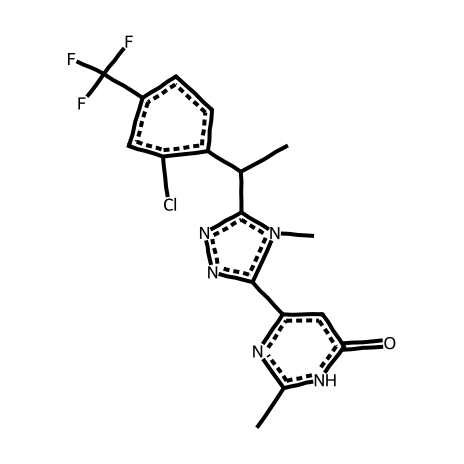 Cc1nc(-c2nnc(C(C)c3ccc(C(F)(F)F)cc3Cl)n2C)cc(=O)[nH]1